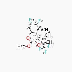 COC(=O)[C@H]1O[C@@](C)(C(F)(F)F)[C@@H](C)[C@H]1c1ccc(F)c(F)c1C